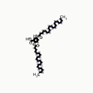 CC/C=C\C/C=C\C/C=C\C/C=C\C/C=C\C/C=C\CCC(=O)Nc1ccc(OC(=O)CC/C=C\C/C=C\C/C=C\C/C=C\C/C=C\C/C=C\CC)c(C(=O)O)c1